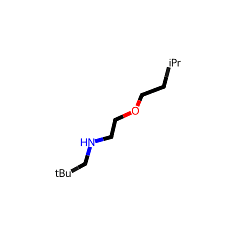 CC(C)CCOCCNCC(C)(C)C